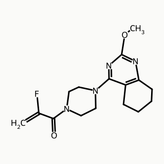 C=C(F)C(=O)N1CCN(c2nc(OC)nc3c2CCCC3)CC1